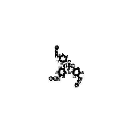 CC(Oc1ccc(N=C=O)cc1)(Oc1ccc(N=C=O)cc1)Oc1ccc(N=C=O)cc1